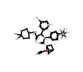 C[C@@H]1C2CN(C#N)[C@@]1(C(=O)N(c1ccc(S(F)(F)(F)(F)F)cc1)C(C(=O)NC1CCC(F)(F)CC1)c1cncc(F)c1)C2